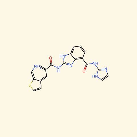 C=C(/C=c1/ccs/c1=C/N)C(=O)Nc1nc2c(C(=O)Nc3ncc[nH]3)cccc2[nH]1